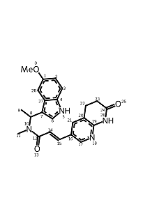 COc1ccc2[nH]cc(C(C)N(C)C(=O)C=Cc3cnc4c(c3)CCC(=O)N4)c2c1